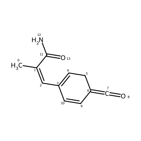 CC(=CC1=CCC(=C=O)C=C1)C(N)=O